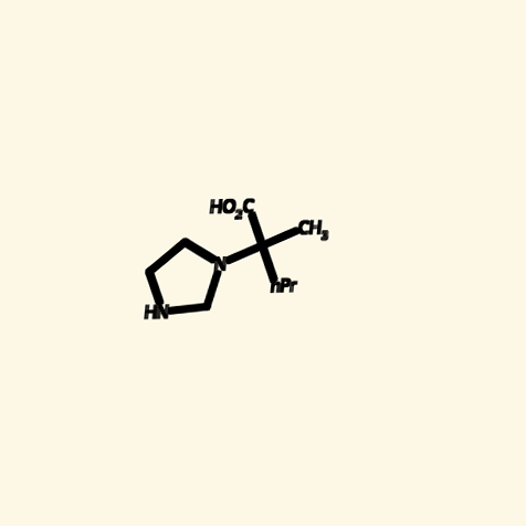 CCCC(C)(C(=O)O)N1CCNC1